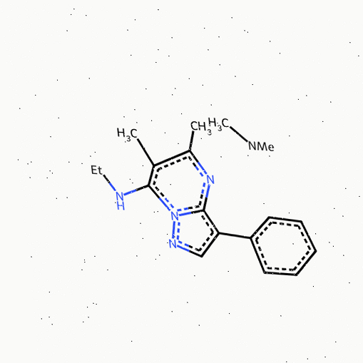 CCNc1c(C)c(C)nc2c(-c3ccccc3)cnn12.CNC